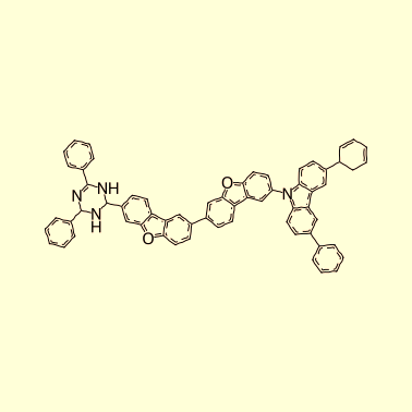 C1=CCC(c2ccc3c(c2)c2cc(-c4ccccc4)ccc2n3-c2ccc3oc4cc(-c5ccc6oc7cc(C8NC(c9ccccc9)=NC(c9ccccc9)N8)ccc7c6c5)ccc4c3c2)C=C1